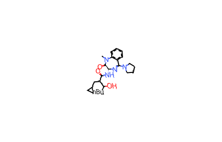 CCCCC(O)C(CC1CC1)C(=O)N[C@H]1N=C(N2CCCC2)c2ccccc2N(C)C1=O